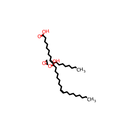 C1CO1.CCCCCCCC/C=C\CCCCCCCC(=O)O.CCCCCCCC/C=C\CCCCCCCC(=O)O